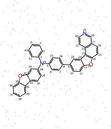 c1ccc(N(c2ccc(-c3ccc4oc5ccc6cnccc6c5c4c3)cc2)c2ccc3c(c2)oc2ccccc23)cc1